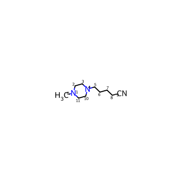 CN1CCN(CCCCC#N)CC1